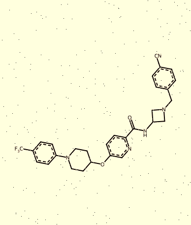 N#Cc1ccc(CN2CC(NC(=O)c3ccc(OC4CCN(c5ccc(C(F)(F)F)cc5)CC4)cn3)C2)cc1